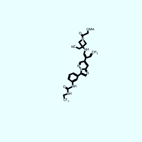 C=C/C(=C\NC1(CC#N)CN(C(=O)COC)C1)c1cnn2c(-c3cccc(NC(=O)NCC(F)(F)F)c3)cnc2c1